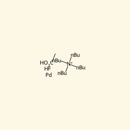 CC(=O)O.CCCC[N+](CCCC)(CCCC)CCCC.F.[Pd]